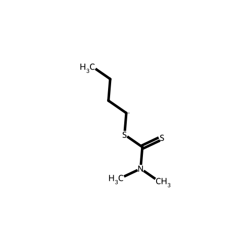 CCC[CH]SC(=S)N(C)C